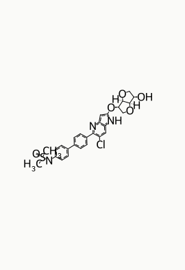 CS(C)(=O)=Nc1ccc(-c2ccc(-c3nc4cc(O[C@@H]5CO[C@H]6[C@@H]5OC[C@H]6O)[nH]c4cc3Cl)cc2)cc1